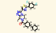 CC1c2nnc(-c3csc(-c4ccc(F)cc4F)n3)n2CCN1C(=O)c1ccc(-c2ccccc2)cc1